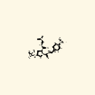 CN(C)/C=N/C(=O)[C@@H]1C[C@@H](OS(C)(=O)=O)CN1C(=O)OCc1ccc([N+](=O)[O-])cc1